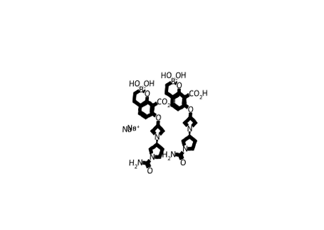 NC(=O)N1CC[C@H](N2CC(Oc3ccc4c(c3C(=O)O)O[B-](O)(O)CC4)C2)C1.NC(=O)N1CC[C@H](N2CC(Oc3ccc4c(c3C(=O)O)O[B-](O)(O)CC4)C2)C1.[Na+].[Na+]